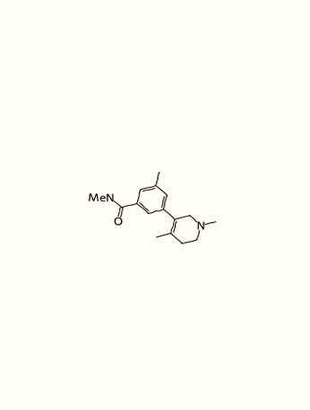 CNC(=O)c1cc(C)cc(C2=C(C)CCN(C)C2)c1